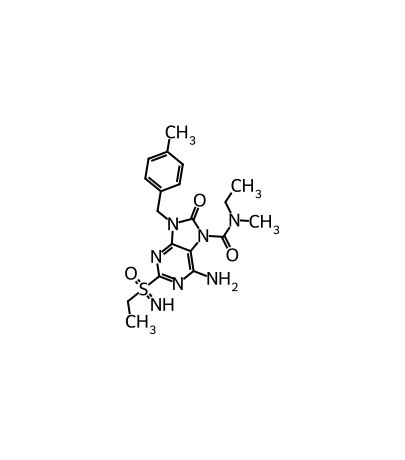 CCN(C)C(=O)n1c(=O)n(Cc2ccc(C)cc2)c2nc(S(=N)(=O)CC)nc(N)c21